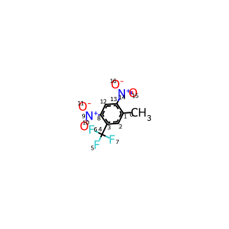 Cc1cc(C(F)(F)F)c([N+](=O)[O-])cc1[N+](=O)[O-]